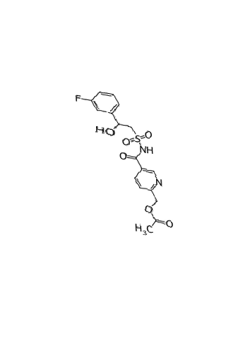 CC(=O)OCc1ccc(C(=O)NS(=O)(=O)CC(O)c2cccc(F)c2)cn1